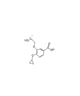 C[C@@H](O)COc1cc(C(=O)O)ccc1OC1CC1